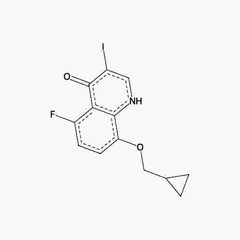 O=c1c(I)c[nH]c2c(OCC3CC3)ccc(F)c12